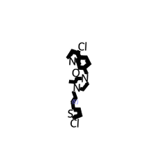 CC1C(=O)N(Cc2ccc3c(Cl)ccnc3c2)CCN1C/C=C/c1ccc(Cl)s1